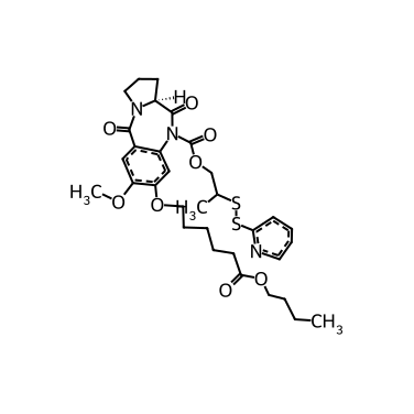 CCCCOC(=O)CCCCCOc1cc2c(cc1OC)C(=O)N1CCC[C@H]1C(=O)N2C(=O)OCC(C)SSc1ccccn1